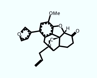 C=CCN1CC[C@@]23c4c5c(-c6ccoc6)cc(OC)c4O[C@@H]2C(=O)CCC3C1C5